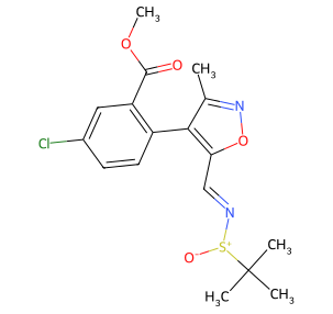 COC(=O)c1cc(Cl)ccc1-c1c(C)noc1/C=N/[S+]([O-])C(C)(C)C